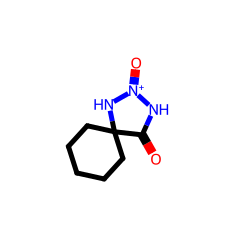 O=C1N[N+](=O)NC12CCCCC2